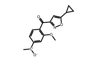 COc1cc([S+](C)[O-])ccc1C(=O)c1cc(C2CC2)on1